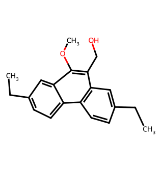 CCc1ccc2c(c1)c(CO)c(OC)c1cc(CC)ccc12